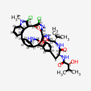 CC(C)[C@H](O)C(=O)N[C@H]1Cc2ccc3c(c2)[C@]24c5ccc(cc5NC2O3)-c2cccc3c2c(c(Cl)n3C)-c2oc(nc2Cl)-c2nc(oc24)[C@H](C(C)C)NC1=O